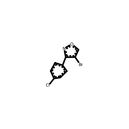 Clc1ccc(-c2nocc2Br)cc1